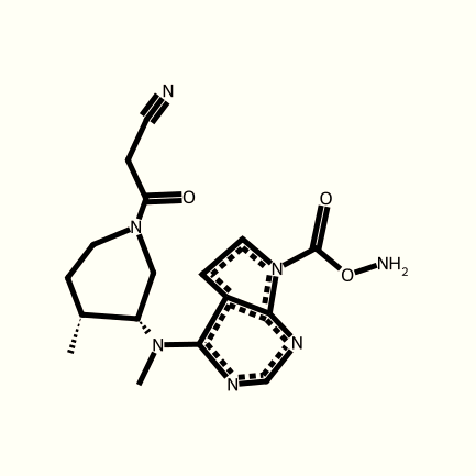 C[C@@H]1CCN(C(=O)CC#N)C[C@@H]1N(C)c1ncnc2c1ccn2C(=O)ON